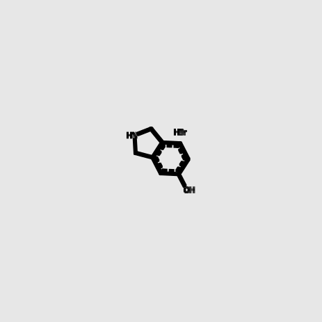 Br.Oc1ccc2c(c1)CNC2